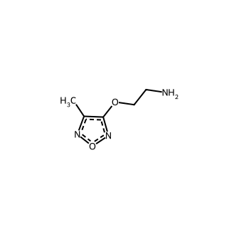 Cc1nonc1OCCN